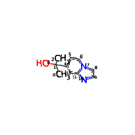 CC(C)(O)c1ccn2ccnc2c1